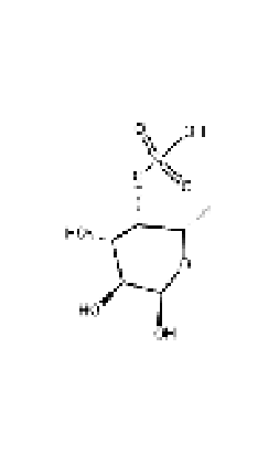 C[C@@H]1O[C@@H](O)[C@@H](O)[C@H](O)[C@@H]1OS(=O)(=O)O